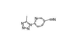 Cc1nnnn1-c1ccc(C#N)cn1